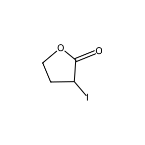 O=C1OCCC1I